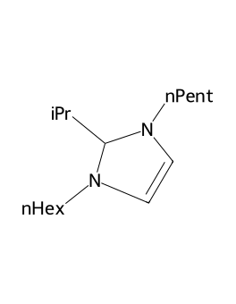 CCCCCCN1C=CN(CCCCC)C1C(C)C